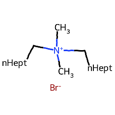 CCCCCCCC[N+](C)(C)CCCCCCCC.[Br-]